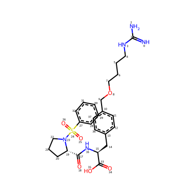 N=C(N)NCCCCOCc1ccc(C[C@H](NC(=O)[C@@H]2CCCN2S(=O)(=O)c2ccccc2)C(=O)O)cc1